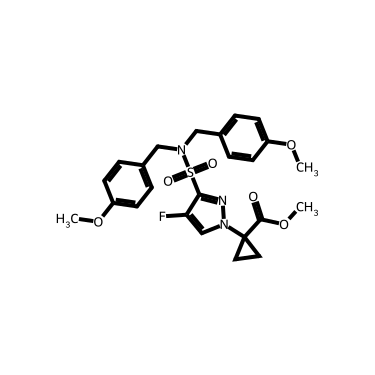 COC(=O)C1(n2cc(F)c(S(=O)(=O)N(Cc3ccc(OC)cc3)Cc3ccc(OC)cc3)n2)CC1